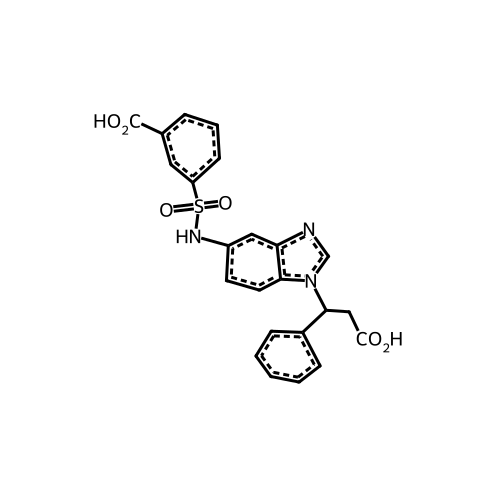 O=C(O)CC(c1ccccc1)n1cnc2cc(NS(=O)(=O)c3cccc(C(=O)O)c3)ccc21